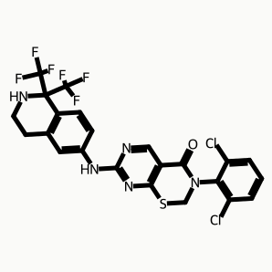 O=C1c2cnc(Nc3ccc4c(c3)CCNC4(C(F)(F)F)C(F)(F)F)nc2SCN1c1c(Cl)cccc1Cl